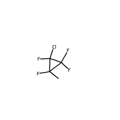 CC1(F)C(F)(F)C1(F)Cl